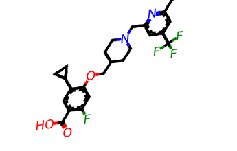 O=C(O)c1cc(C2CC2)c(OCC2CCN(Cc3cc(C(F)(F)F)cc(C4CC4)n3)CC2)cc1F